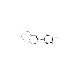 Cc1cc(C2=C[C@H]3CNCC[C@H]3CC2)cnc1Cl